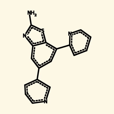 Nc1nc2cc(-c3cccnc3)cc(-c3ccccn3)c2s1